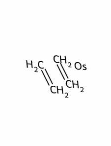 C=C.C=C.[Os]